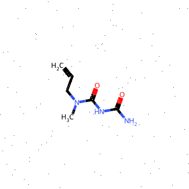 C=CCN(C)C(=O)NC(N)=O